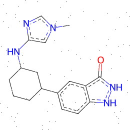 Cn1cnc(NC2CCCC(c3ccc4[nH][nH]c(=O)c4c3)C2)c1